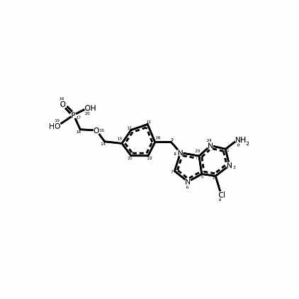 Nc1nc(Cl)c2ncn(Cc3ccc(COCP(=O)(O)O)cc3)c2n1